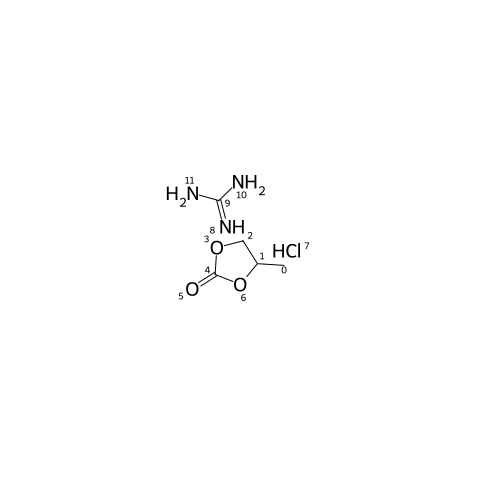 CC1COC(=O)O1.Cl.N=C(N)N